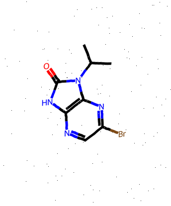 C[C](C)n1c(=O)[nH]c2ncc(Br)nc21